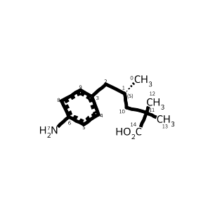 C[C@@H](Cc1ccc(N)cc1)CC(C)(C)C(=O)O